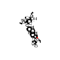 CCOCOC12CC[C@H](C3=CC(=O)OC3)[C@@]1(C)CC[C@H]1[C@H]2CC[C@@H]2C[C@@H](O[C@@H]3O[C@@H](C)[C@@](O)(COCC)[C@@H](OC)[C@@]3(O)COCC)CC[C@@]21C